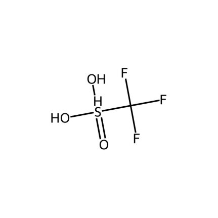 O=[SH](O)(O)C(F)(F)F